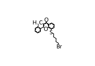 Cc1c(-c2ccccc2)oc2c(SCCCCCBr)cccc2c1=O